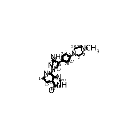 CN1CCN(c2ccc(-c3cn(-c4nccc5c(=O)[nH]cnc45)nc3N)cc2)CC1